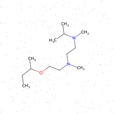 CCC(C)OCCN(C)CCN(C)C(C)C